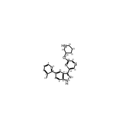 Fc1cccnc1-c1ccc2[nH]nc(-c3cncc(OC4CCCNC4)n3)c2c1